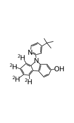 [2H]c1c([2H])c([2H])c2c(c1[2H])c1ccc(O)cc1n2-c1cc(C(C)(C)C)ccn1